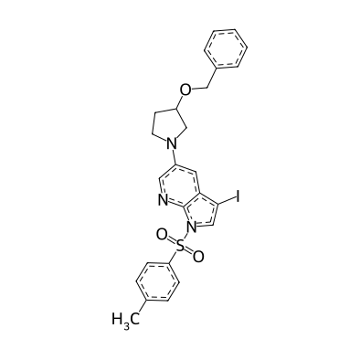 Cc1ccc(S(=O)(=O)n2cc(I)c3cc(N4CCC(OCc5ccccc5)C4)cnc32)cc1